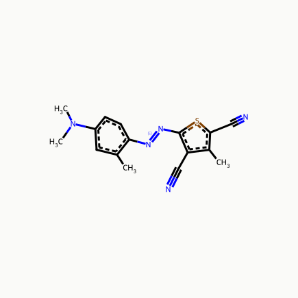 Cc1cc(N(C)C)ccc1/N=N/c1sc(C#N)c(C)c1C#N